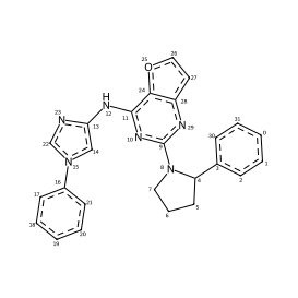 c1ccc(C2CCCN2c2nc(Nc3cn(-c4ccccc4)cn3)c3occc3n2)cc1